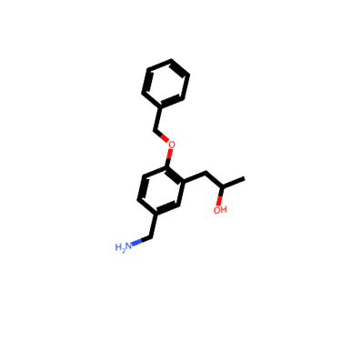 CC(O)Cc1cc(CN)ccc1OCc1ccccc1